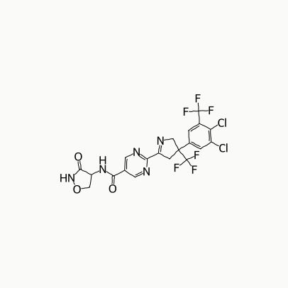 O=C(NC1CONC1=O)c1cnc(C2=NCC(c3cc(Cl)c(Cl)c(C(F)(F)F)c3)(C(F)(F)F)C2)nc1